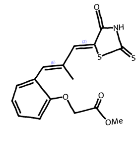 COC(=O)COc1ccccc1/C=C(C)/C=C1\SC(=S)NC1=O